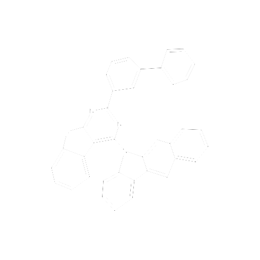 c1ccc(-c2cccc(-c3nc(-n4c5ccccc5c5cc6ccccc6cc54)c4c(n3)sc3ccccc34)c2)cc1